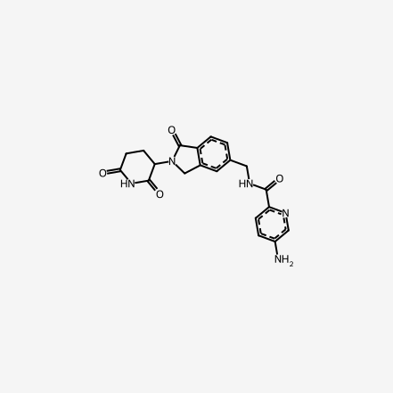 Nc1ccc(C(=O)NCc2ccc3c(c2)CN(C2CCC(=O)NC2=O)C3=O)nc1